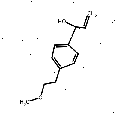 C=CC(O)c1ccc(CCOC)cc1